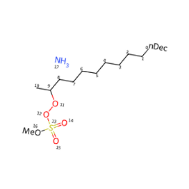 CCCCCCCCCCCCCCCCCCC(C)OOS(=O)(=O)OC.N